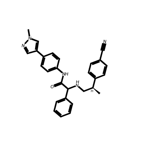 C[C@@H](CNC(C(=O)Nc1ccc(-c2cnn(C)c2)cc1)c1ccccc1)c1ccc(C#N)cc1